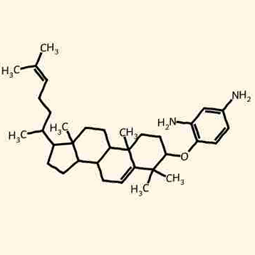 CC(C)=CCCC(C)C1CCC2C3CC=C4C(C)(C)C(Oc5ccc(N)cc5N)CCC4(C)C3CCC12C